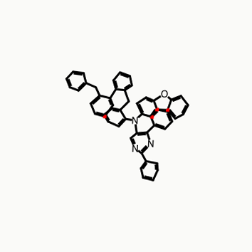 c1ccc(Cc2ccccc2-c2ccccc2Cc2ccccc2N(c2ccc3oc4ccccc4c3c2)c2cnc(-c3ccccc3)nc2-c2ccccc2)cc1